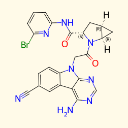 N#Cc1ccc2c(c1)c1c(N)ncnc1n2CC(=O)N1[C@@H]2C[C@@H]2C[C@H]1C(=O)Nc1cccc(Br)n1